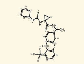 CC(NC(=O)C1(NC(=O)Oc2cncnc2)CC1)c1ccc(Nc2c(F)cccc2C(F)(F)F)cn1